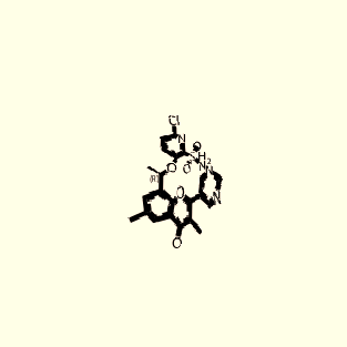 Cc1cc([C@@H](C)Oc2ccc(Cl)nc2S(N)(=O)=O)c2oc(-c3cncnc3)c(C)c(=O)c2c1